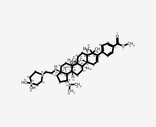 COC(=O)c1ccc(C2=CC[C@]3(C)[C@H]4CC[C@@H]5[C@H]6[C@H](N(C)C)CC[C@]6(NCCN6CCS(O)(O)CC6)CC[C@@]5(C)[C@]4(C)CC[C@H]3C2(C)C)cc1